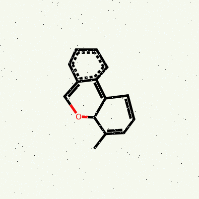 [CH2]C1=CC=CC2=c3ccccc3=COC12